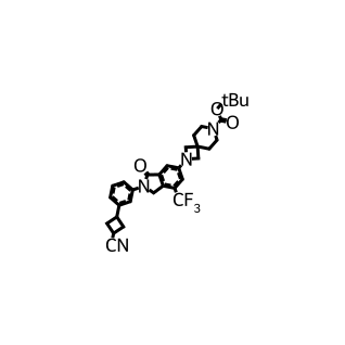 CC(C)(C)OC(=O)N1CCC2(CC1)CN(c1cc3c(c(C(F)(F)F)c1)CN(c1cccc(C4CC(C#N)C4)c1)C3=O)C2